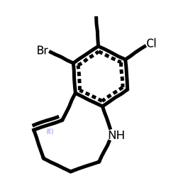 Cc1c(Cl)cc2c(c1Br)/C=C/CCCN2